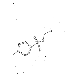 COCOS(=O)(=O)c1ccc(C)cc1